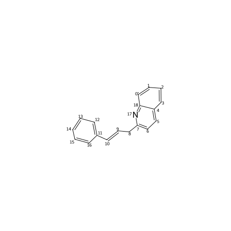 [c]1cccc2ccc(CC=Cc3ccccc3)nc12